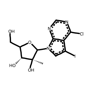 C[C@@]1(O)C(n2cc(I)c3c(Cl)ncnc32)OC(CO)[C@H]1O